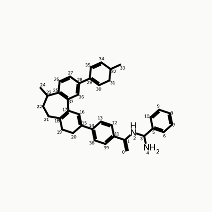 C=C(NC(N)c1ccccc1)c1ccc(C2=CC3=C(CC2)CCC(C)c2ccc(C4=CCC(C)C=C4)cc23)cc1